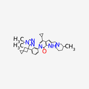 CC(C)n1cnnc1C1(c2cccc(-n3cc(C4CC4)c4cc(CN5CCC[C@H](C)C5)[nH]c4c3=O)c2)CC2(CC2)C1